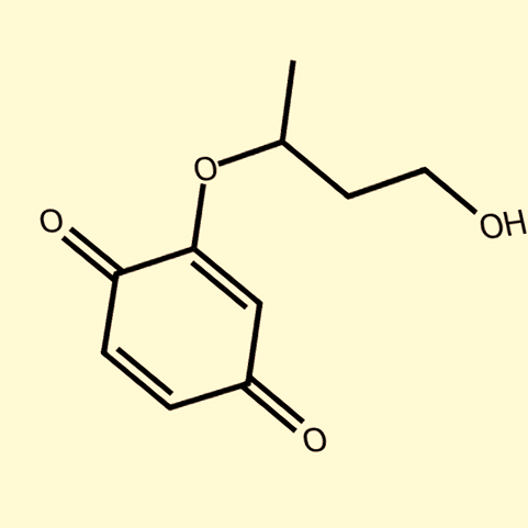 CC(CCO)OC1=CC(=O)C=CC1=O